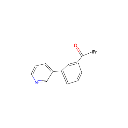 CC(C)C(=O)c1cccc(-c2cccnc2)c1